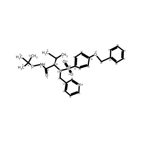 CC(C)[C@H](C(=O)NOC(C)(C)C)N(Cc1cccnc1)S(=O)(=O)c1ccc(OCc2ccccc2)cc1